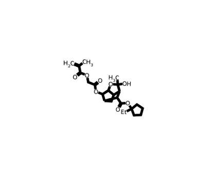 C=C(C)C(=O)OCC(=O)OC1C2CC3C1OC(C)(O)C3C2C(=O)OC1(CC)CCCC1